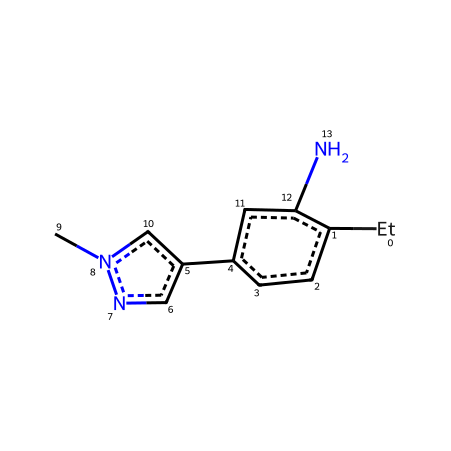 CCc1ccc(-c2cnn(C)c2)cc1N